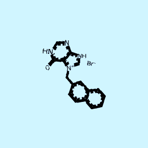 O=c1[nH]cnc2[nH]c[n+](Cc3ccc4ccccc4c3)c12.[Br-]